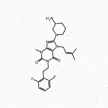 CC(C)=CCn1c(N2CCCC(N)C2)nc2c1c(=O)n(CCc1c(F)cccc1F)c(=O)n2C